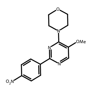 COc1cnc(-c2ccc([N+](=O)[O-])cc2)nc1N1CCOCC1